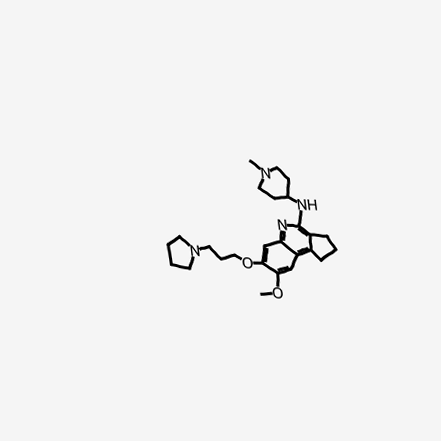 COc1cc2c3c(c(NC4CCN(C)CC4)nc2cc1OCCCN1CCCC1)CCC3